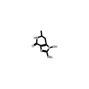 CCCCc1nc2c(n1O)CC(C)NC2=O